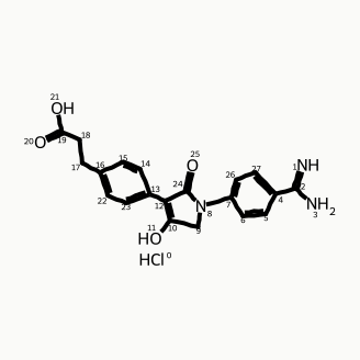 Cl.N=C(N)c1ccc(N2CC(O)=C(c3ccc(CCC(=O)O)cc3)C2=O)cc1